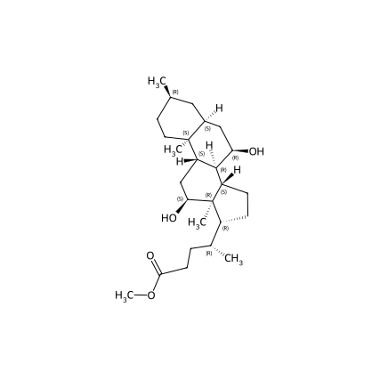 COC(=O)CC[C@@H](C)[C@H]1CC[C@H]2[C@@H]3[C@H](O)C[C@@H]4C[C@H](C)CC[C@]4(C)[C@H]3C[C@H](O)[C@]12C